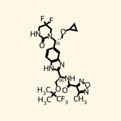 Cc1nonc1C(=O)N[C@@H](COC(C)(C)C(F)(F)F)c1nc2cc([C@@H](COC3CC3)N3CC(F)(F)CNC3=O)ccc2[nH]1